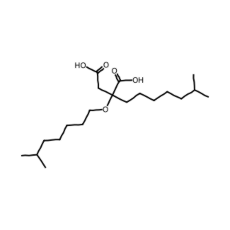 CC(C)CCCCCOC(CCCCCC(C)C)(CC(=O)O)C(=O)O